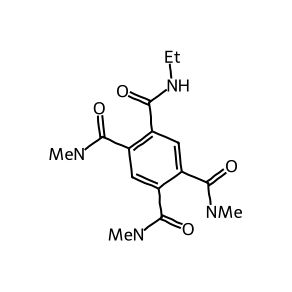 CCNC(=O)c1cc(C(=O)NC)c(C(=O)NC)cc1C(=O)NC